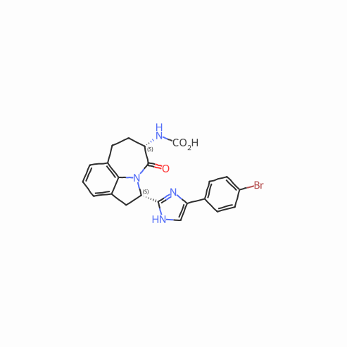 O=C(O)N[C@H]1CCc2cccc3c2N(C1=O)[C@H](c1nc(-c2ccc(Br)cc2)c[nH]1)C3